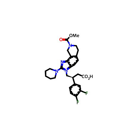 COC(=O)N1CCc2ccc3c(nc(N4CCCCC4)n3C[C@@H](CC(=O)O)c3ccc(F)c(F)c3)c2C1